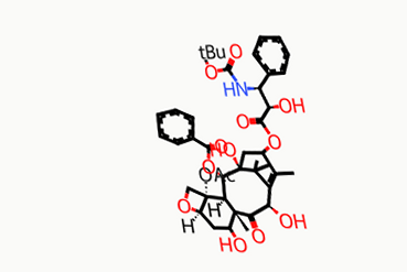 CC(=O)O[C@@]12CO[C@@H]1CC(O)[C@@]1(C)C(=O)[C@H](O)C3=C(C)C(OC(=O)[C@H](O)[C@@H](NC(=O)OC(C)(C)C)c4ccccc4)C[C@@](O)([C@@H](OC(=O)c4ccccc4)[C@H]21)C3(C)C